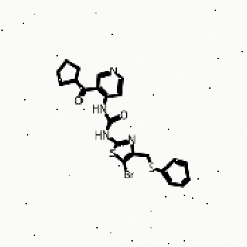 O=C(Nc1nc(CSc2ccccc2)c(Br)s1)Nc1ccncc1C(=O)C1CCCC1